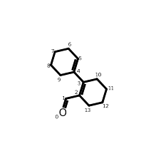 O=CC1=C(C2=CCCCC2)CCCC1